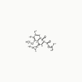 COc1c(F)c(F)cc2c(=O)c(C(=O)OB(F)F)cn(C3CC3F)c12